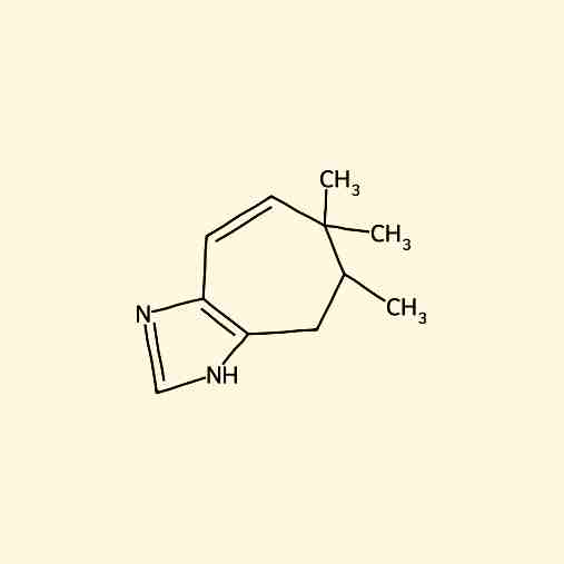 CC1Cc2[nH]cnc2C=CC1(C)C